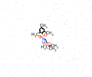 Cc1cc(C)c(S(=O)(=O)NCC(=O)OC(C)(C)C)c(C)c1